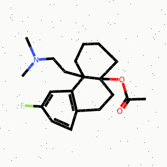 CC(=O)OC12CCCCC1(CCN(C)C)c1cc(F)ccc1CC2